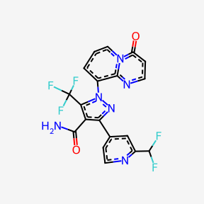 NC(=O)c1c(-c2ccnc(C(F)F)c2)nn(-c2cccn3c(=O)ccnc23)c1C(F)(F)F